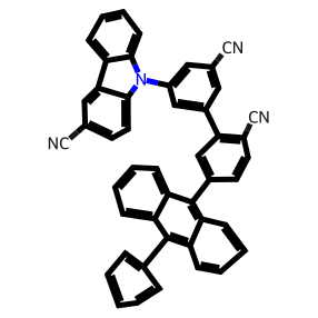 N#Cc1cc(-c2cc(-c3c4ccccc4c(-c4ccccc4)c4ccccc34)ccc2C#N)cc(-n2c3ccccc3c3cc(C#N)ccc32)c1